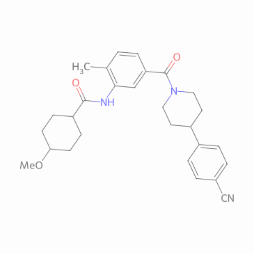 COC1CCC(C(=O)Nc2cc(C(=O)N3CCC(c4ccc(C#N)cc4)CC3)ccc2C)CC1